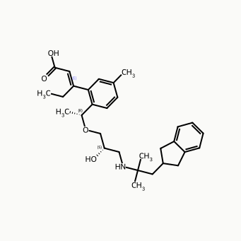 CC/C(=C\C(=O)O)c1cc(C)ccc1[C@@H](C)OC[C@@H](O)CNC(C)(C)CC1Cc2ccccc2C1